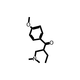 CCC(CN(C)C)C(=O)c1ccc(OC)cc1